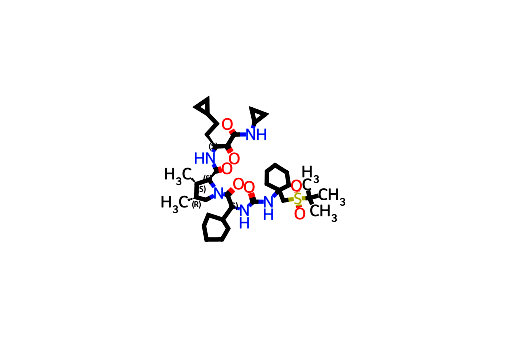 C[C@@H]1[C@@H](C(=O)N[C@@H](CCC2CC2)C(=O)C(=O)NC2CC2)N(C(=O)[C@@H](NC(=O)NC2(CS(=O)(=O)C(C)(C)C)CCCCC2)C2CCCCC2)C[C@@H]1C